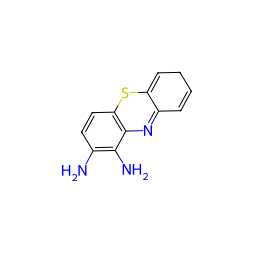 Nc1ccc2c(c1N)N=C1C=CCC=C1S2